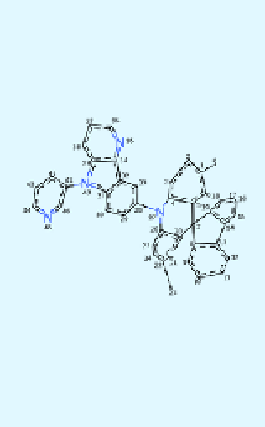 Cc1ccc2c(c1)C1(c3ccccc3-c3ccccc31)c1cc(C)ccc1N2c1ccc2c(c1)c1ncccc1n2-c1cccnc1